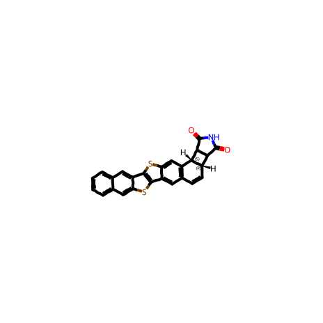 O=C1NC(=O)C2C1[C@H]1c3cc4sc5c6cc7ccccc7cc6sc5c4cc3C=C[C@@H]21